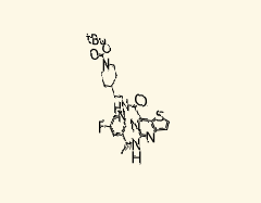 C[C@H](Nc1nc(C(=O)NCCC2CCN(C(=O)OC(C)(C)C)CC2)c2sccc2n1)c1cncc(F)c1